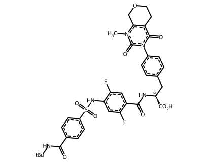 Cn1c2c(c(=O)n(-c3ccc(C[C@H](NC(=O)c4cc(F)c(NS(=O)(=O)c5ccc(C(=O)NC(C)(C)C)cc5)cc4F)C(=O)O)cc3)c1=O)CCOC2